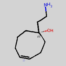 NCC[C@@]1(O)CC/C=C\CCC1